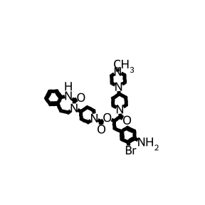 CN1CCN(C2CCN(C(=O)C(Cc3ccc(N)c(Br)c3)OC(=O)N3CCC(N4CCc5ccccc5NC4=O)CC3)CC2)CC1